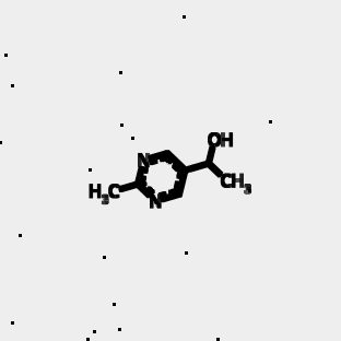 Cc1ncc(C(C)O)cn1